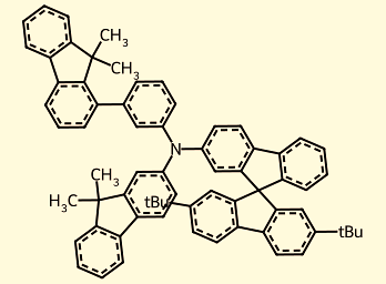 CC(C)(C)c1ccc2c(c1)C1(c3ccccc3-c3ccc(N(c4cccc(-c5cccc6c5C(C)(C)c5ccccc5-6)c4)c4ccc5c(c4)C(C)(C)c4ccccc4-5)cc31)c1cc(C(C)(C)C)ccc1-2